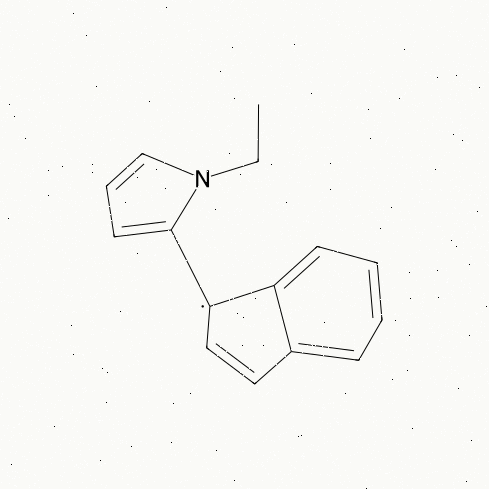 CCn1cccc1[C]1C=Cc2ccccc21